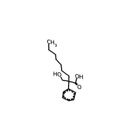 CCCCCCCC(CO)(C(=O)O)c1ccccc1